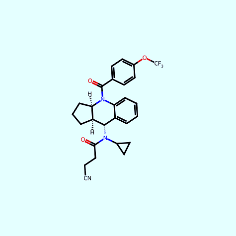 N#CCCC(=O)N(C1CC1)[C@H]1c2ccccc2N(C(=O)c2ccc(OC(F)(F)F)cc2)[C@@H]2CCC[C@@H]21